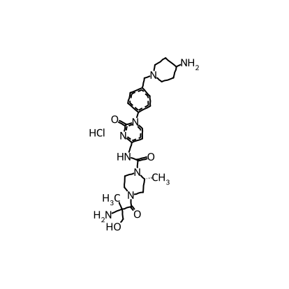 C[C@@H]1CN(C(=O)C(C)(N)CO)CCN1C(=O)Nc1ccn(-c2ccc(CN3CCC(N)CC3)cc2)c(=O)n1.Cl